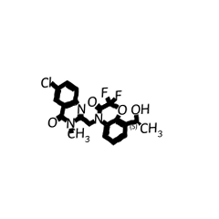 C[C@H](O)c1cccc2c1OC(F)(F)C(=O)N2Cc1nc2ccc(Cl)cc2c(=O)n1C